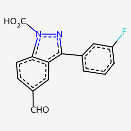 O=Cc1ccc2c(c1)c(-c1cccc(F)c1)nn2C(=O)O